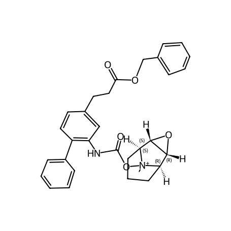 C[N+]1(OC(=O)Nc2cc(CCC(=O)OCc3ccccc3)ccc2-c2ccccc2)[C@@H]2CCC[C@H]1[C@@H]1O[C@@H]12